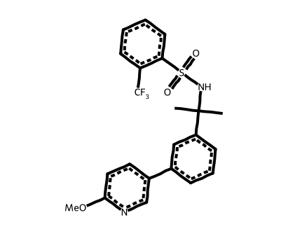 COc1ccc(-c2cccc(C(C)(C)NS(=O)(=O)c3ccccc3C(F)(F)F)c2)cn1